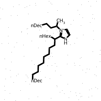 CCCCCCCCCCCCCCCCCCC(CCCCCC)c1[nH]cc[n+]1C(C)CCCCCCCCCCCC